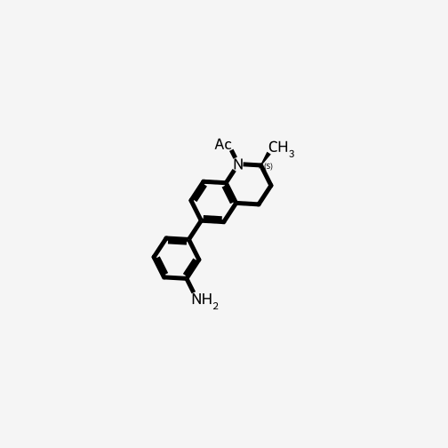 CC(=O)N1c2ccc(-c3cccc(N)c3)cc2CC[C@@H]1C